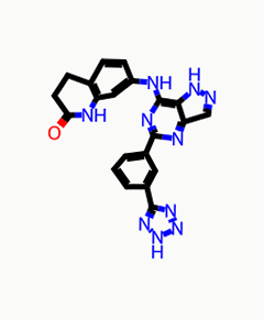 O=C1CCc2ccc(Nc3nc(-c4cccc(-c5nn[nH]n5)c4)nc4cn[nH]c34)cc2N1